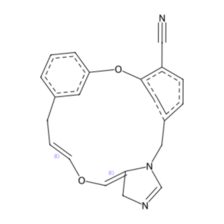 N#Cc1ccc2cc1Oc1cccc(c1)C/C=C/O/C=C1\CN=CN1C2